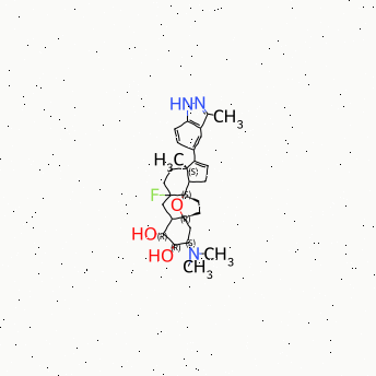 Cc1n[nH]c2ccc(C3=CCC4[C@@]56CC[C@]7(C[C@H](N(C)C)[C@@H](O)[C@H](O)C7CC5(F)CC[C@]34C)O6)cc12